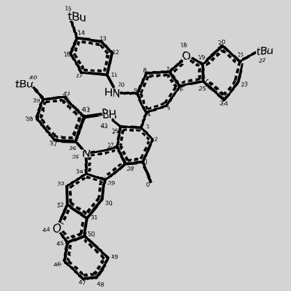 Cc1cc(-c2cc3c(cc2Nc2ccc(C(C)(C)C)cc2)oc2cc(C(C)(C)C)ccc23)c2c3c1c1cc4c(cc1n3-c1ccc(C(C)(C)C)cc1B2)oc1ccccc14